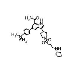 CN(C)c1ccc(-c2cc(C(N)=O)c3[nH]cc(C4CCN(S(=O)(=O)CCCNC5CCCC5)CC4)c3c2)cc1